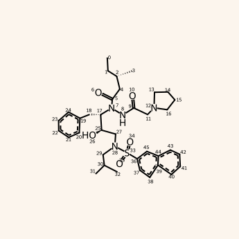 CC[C@H](C)CC(=O)N(NC(=O)CN1CCCC1)[C@@H](Cc1ccccc1)[C@H](O)CN(CC(C)C)S(=O)(=O)c1ccc2ccccc2c1